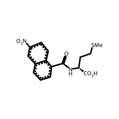 CSCC[C@H](NC(=O)c1cccc2cc([N+](=O)[O-])ccc12)C(=O)O